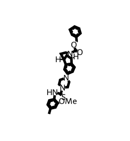 COc1cc(C)ccc1NC(=S)N1CCN(c2ccc3c(c2)[C@@H]2CCN(C(=O)OCc4ccccc4)[C@@H]3C2)CC1